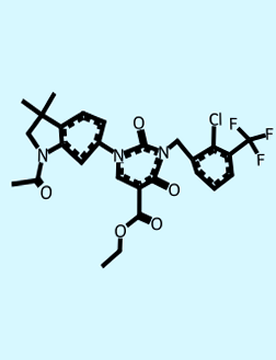 CCOC(=O)c1cn(-c2ccc3c(c2)N(C(C)=O)CC3(C)C)c(=O)n(Cc2cccc(C(F)(F)F)c2Cl)c1=O